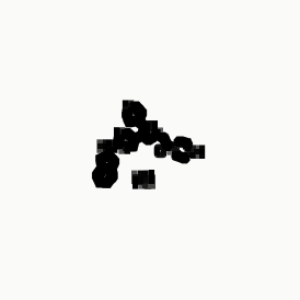 Cl.Cl.O=C(Cn1cc(-c2cnc(NC3Cc4ccccc4C3)nc2)c(-c2ccncc2)n1)N1CCNCC1